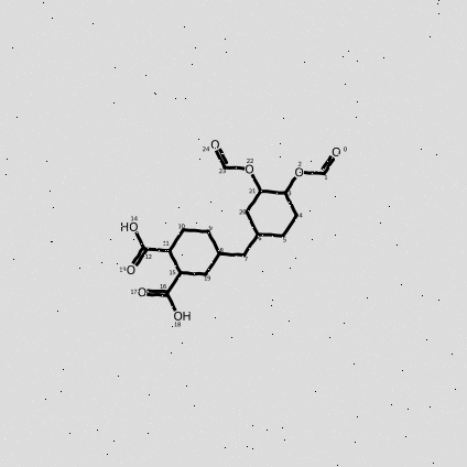 O=COC1CCC(CC2CCC(C(=O)O)C(C(=O)O)C2)CC1OC=O